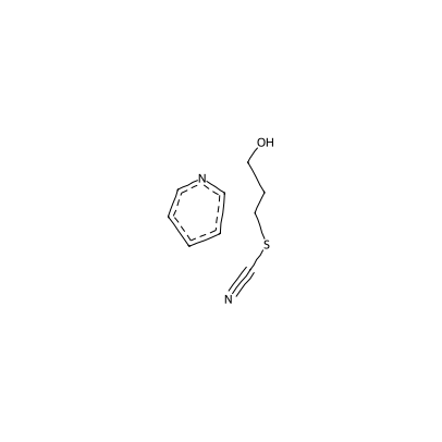 N#CSCCCO.c1ccncc1